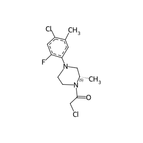 Cc1cc(N2CCN(C(=O)CCl)[C@@H](C)C2)c(F)cc1Cl